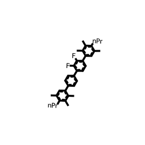 CCCc1c(C)cc(-c2ccc(-c3ccc(-c4cc(C)c(CCC)c(C)c4C)c(F)c3F)cc2)c(C)c1C